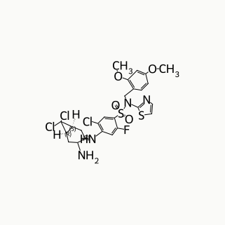 COc1ccc(CN(c2nccs2)S(=O)(=O)c2cc(Cl)c(N[C@@H]3C[C@H]4[C@@H](CC3N)C4(Cl)Cl)cc2F)c(OC)c1